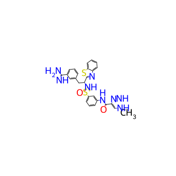 CN/C=C(\N=N)C(=O)Nc1cccc([S+]([O-])NC(Cc2cccc(C(=N)N)c2)c2nc3ccccc3s2)c1